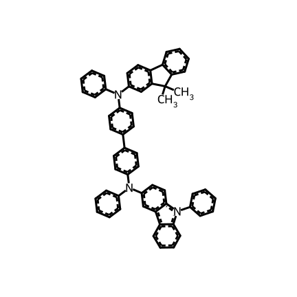 CC1(C)c2ccccc2-c2ccc(N(c3ccccc3)c3ccc(-c4ccc(N(c5ccccc5)c5ccc6c(c5)c5ccccc5n6-c5ccccc5)cc4)cc3)cc21